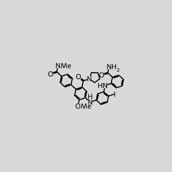 CNC(=O)c1ccc(-c2cc(OC)c(Nc3ccc(I)c(Nc4ccccc4C(N)=O)c3)cc2C(=O)N2CCCC2)cc1